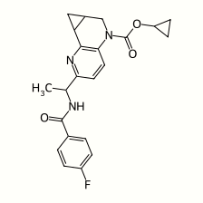 CC(NC(=O)c1ccc(F)cc1)c1ccc2c(n1)C1CC1CN2C(=O)OC1CC1